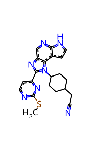 CSc1nccc(-c2nc3cnc4[nH]ccc4c3n2C2CCC(CC#N)CC2)n1